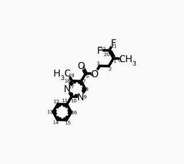 CC(CCOC(=O)c1cnc(-c2ccccc2)nc1C)=C(F)F